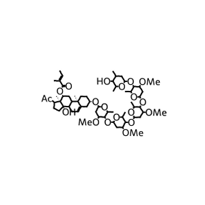 C/C=C(\C)C(=O)O[C@@H]1CC2C(CC=C3C[C@@H](OC4CC(OC)C(OC5CC(OC)C(OC6CC(OC)C(OC7CC(OC)C(OC8CC(C)C(O)C(C)O8)C(C)O7)C(C)O6)C(C)O5)C(C)O4)CC[C@@]32C)[C@@]2(O)CCC(C(C)=O)[C@@]12C